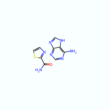 NC(=O)c1nccs1.Nc1ncnc2nc[nH]c12